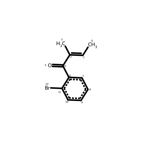 CC=C(C)C(=O)c1ccccc1Br